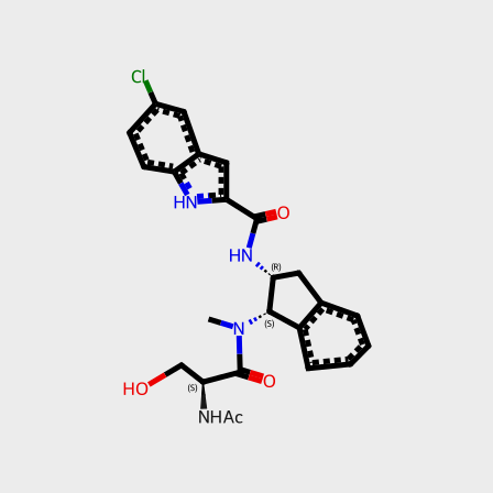 CC(=O)N[C@@H](CO)C(=O)N(C)[C@H]1c2ccccc2C[C@H]1NC(=O)c1cc2cc(Cl)ccc2[nH]1